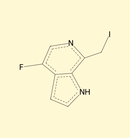 Fc1cnc(CI)c2[nH]ccc12